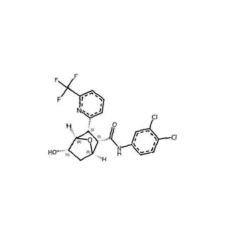 O=C(Nc1ccc(Cl)c(Cl)c1)[C@H]1[C@@H](c2cccc(C(F)(F)F)n2)[C@H]2O[C@@H]1C[C@@H]2O